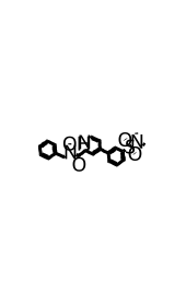 CN(C)S(=O)(=O)c1cccc(-c2ccnc(C(=O)N(O)Cc3ccccc3)c2)c1